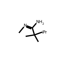 C/N=C(/N)C(C)(C)C(C)C